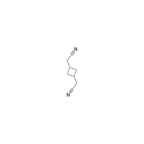 N#CCC1CC(CC#N)C1